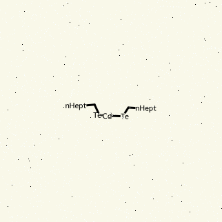 CCCCCCCC[Te][Cd][Te]CCCCCCCC